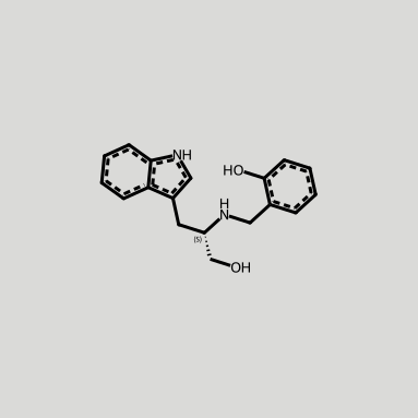 OC[C@H](Cc1c[nH]c2ccccc12)NCc1ccccc1O